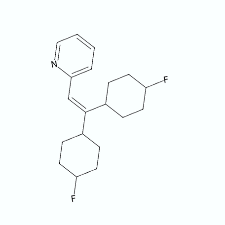 FC1CCC(C(=Cc2ccccn2)C2CCC(F)CC2)CC1